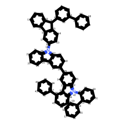 c1ccc(-c2cccc(C3c4ccccc4-c4cc(-n5c6ccccc6c6cc(-c7ccc8c(c7)c7c(-c9ccccc9)cccc7n8-c7ccccc7-c7ccccc7)ccc65)ccc43)c2)cc1